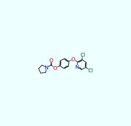 O=C(Oc1ccc(Oc2ncc(Cl)cc2Cl)cc1)N1CCCC1